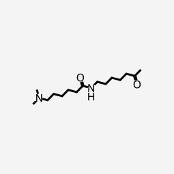 CC(=O)CCCCCNC(=O)CCCCCN(C)C